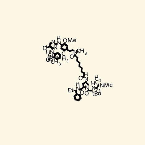 CC[C@@H](NC(=O)C1CC(NC(=O)CCCCCCCC(=O)N(C)CCc2cc(OC)c(Nc3ncc(Cl)c(Nc4ccccc4P(C)(C)=O)n3)cc2C)CN1C(=O)[C@@H](NC(=O)[C@H](C)NC)C(C)(C)C)c1ccccc1